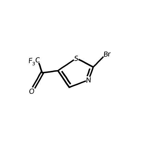 O=C(c1cnc(Br)s1)C(F)(F)F